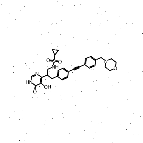 O=c1[nH]cnc(C(CNS(=O)(=O)C2CC2)Cc2ccc(C#Cc3ccc(CN4CCOCC4)cc3)cc2)c1O